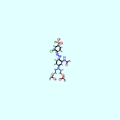 CC(=O)Nc1cc(N(CCOC(C)=O)CCOC(C)=O)ccc1N=Nc1ccc(S(=O)(=O)F)cc1Cl